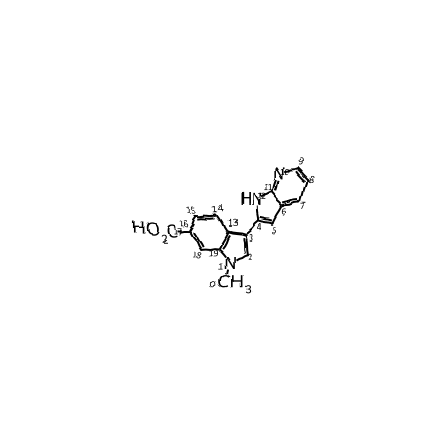 Cn1cc(-c2cc3cccnc3[nH]2)c2ccc(C(=O)O)cc21